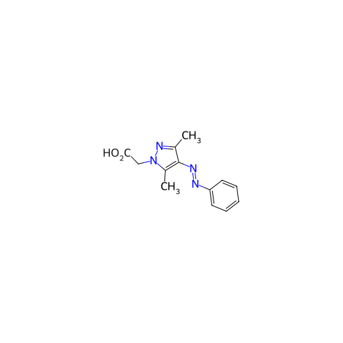 Cc1nn(CC(=O)O)c(C)c1/N=N/c1ccccc1